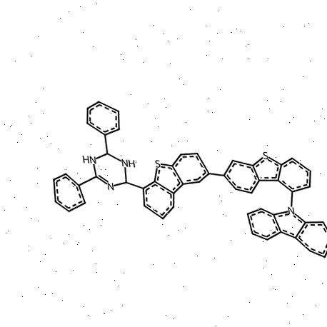 c1ccc(C2=NC(c3cccc4c3sc3ccc(-c5ccc6c(c5)sc5cccc(-n7c8ccccc8c8ccccc87)c56)cc34)NC(c3ccccc3)N2)cc1